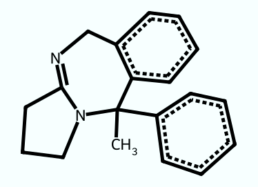 CC1(c2ccccc2)c2ccccc2CN=C2CCCN21